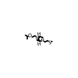 CSCCN1C[C@@H]2C[C@H]1CN2CCOC(C)C